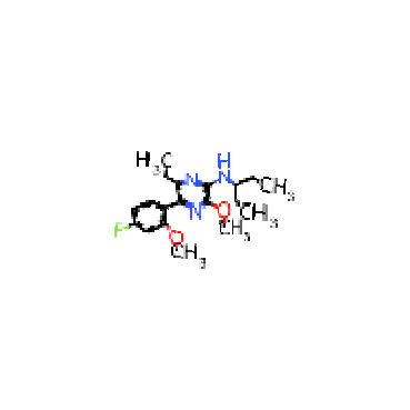 CCc1nc(NC(CC)CC)c(OC)nc1-c1ccc(F)cc1OC